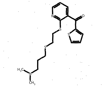 CN(C)CCCSCCSc1ncccc1C(=O)c1cccs1